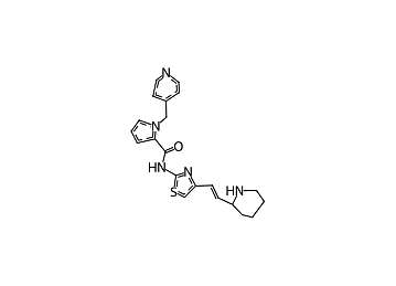 O=C(Nc1nc(C=CC2CCCCN2)cs1)c1cccn1Cc1ccncc1